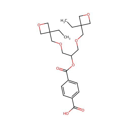 CCC1(COCC(COCC2(CC)COC2)OC(=O)c2ccc(C(=O)O)cc2)COC1